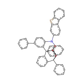 c1ccc(-c2ccc3c(c2)C24c5ccccc5C(c5ccccc5)(c5ccccc52)c2cccc(c24)N3c2ccc3c(c2)sc2ccccc23)cc1